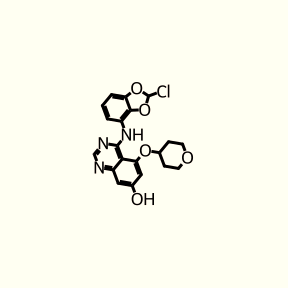 Oc1cc(OC2CCOCC2)c2c(Nc3cccc4c3OC(Cl)O4)ncnc2c1